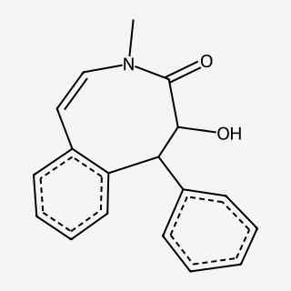 CN1/C=C\c2ccccc2C(c2ccccc2)C(O)C1=O